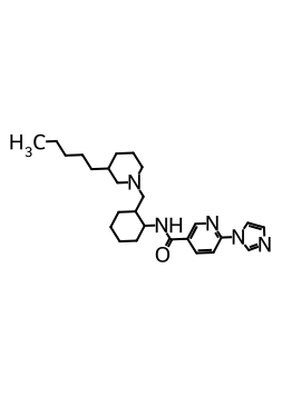 CCCCCC1CCCN(CC2CCCCC2NC(=O)c2ccc(-n3ccnc3)nc2)C1